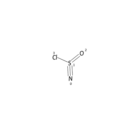 N#S(=O)Cl